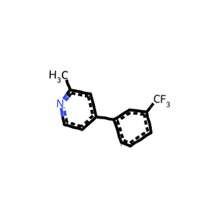 Cc1cc(-c2[c]ccc(C(F)(F)F)c2)ccn1